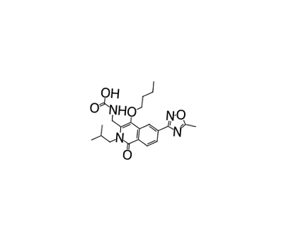 CCCCOc1c(CNC(=O)O)n(CC(C)C)c(=O)c2ccc(-c3noc(C)n3)cc12